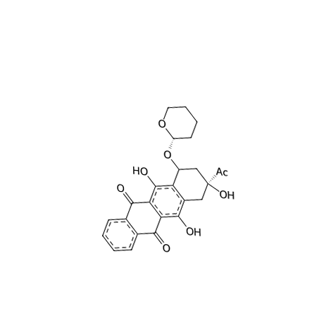 CC(=O)[C@]1(O)Cc2c(O)c3c(c(O)c2C(O[C@H]2CCCCO2)C1)C(=O)c1ccccc1C3=O